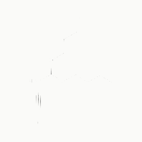 CC#C[SiH2]C(OCCCC)OCCCC